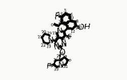 C=Cc1c(F)ccc2cc(O)cc(-c3ncc4c(N5CCCCC5)nc(OC[C@@]56CCCN5C[C@H](F)C6)nc4c3F)c12